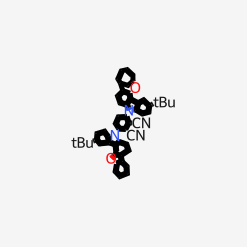 CC(C)(C)c1ccc2c(c1)c1c3c(ccc1n2-c1ccc(-n2c4ccc(C(C)(C)C)cc4c4c5oc6ccccc6c5ccc42)c(C#N)c1C#N)C1C=CC=CC(C1)O3